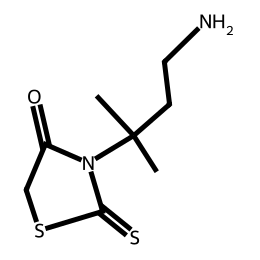 CC(C)(CCN)N1C(=O)CSC1=S